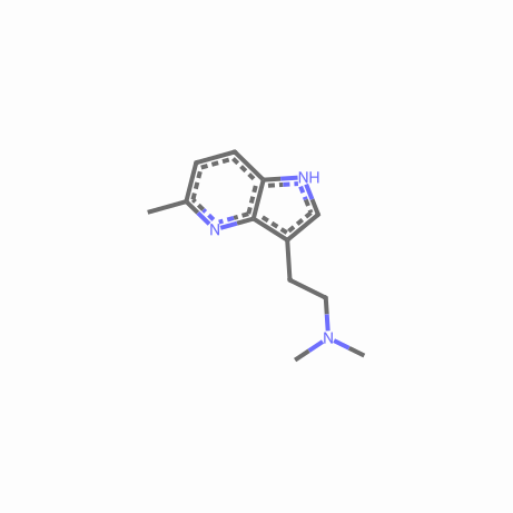 Cc1ccc2[nH]cc(CCN(C)C)c2n1